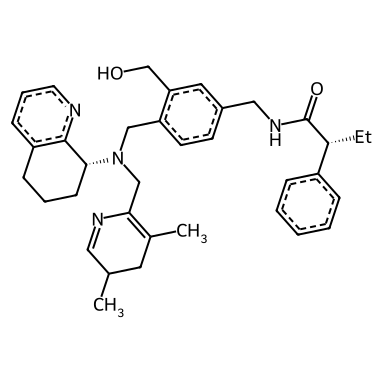 CC[C@@H](C(=O)NCc1ccc(CN(CC2=C(C)CC(C)C=N2)[C@@H]2CCCc3cccnc32)c(CO)c1)c1ccccc1